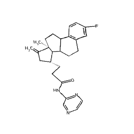 C=C1C[C@@H](CCC(=O)Nc2cnccn2)C2C3CCc4cc(F)ccc4C3CC[C@]12C